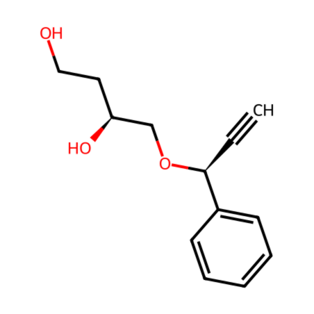 C#C[C@H](OC[C@@H](O)CCO)c1ccccc1